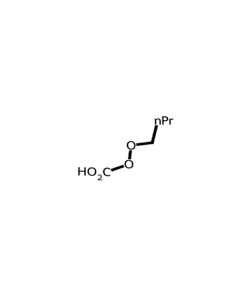 CCCCOOC(=O)O